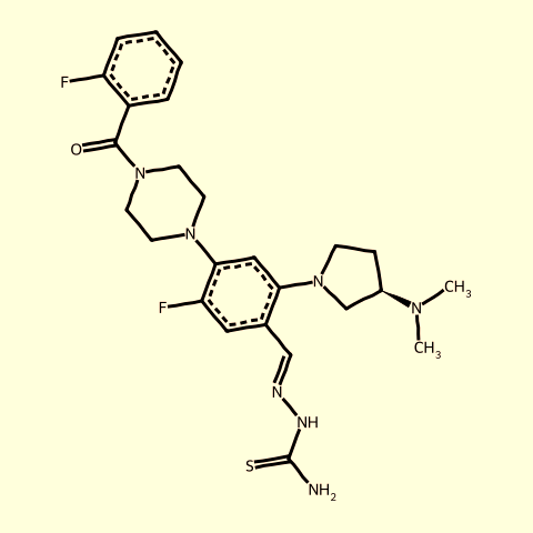 CN(C)[C@@H]1CCN(c2cc(N3CCN(C(=O)c4ccccc4F)CC3)c(F)cc2C=NNC(N)=S)C1